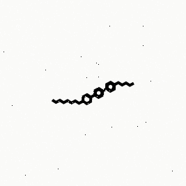 CCCCCCCCC1CC=C(c2ccc(-c3ccc(CCCCC)cc3)cc2)CC1